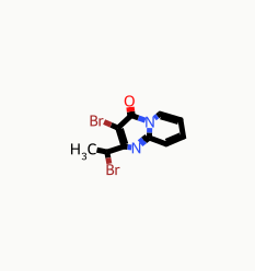 CC(Br)c1nc2ccccn2c(=O)c1Br